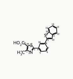 Cc1nc(-c2cccc(-c3cc4ccccc4s3)c2)sc1C(=O)O